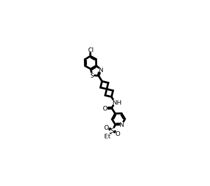 CCS(=O)(=O)c1cc(C(=O)NC2CC3(C2)CC(c2nc4cc(Cl)ccc4s2)C3)ccn1